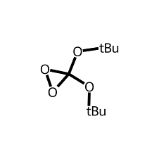 CC(C)(C)OC1(OC(C)(C)C)OO1